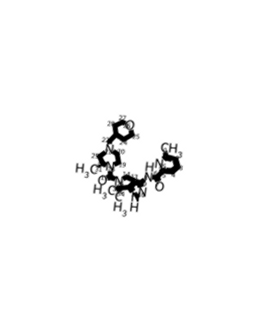 Cc1cccc(C(=O)Nc2n[nH]c3c2CN(C(=O)N2CCN(CC4CCOCC4)C[C@@H]2C)C3(C)C)n1